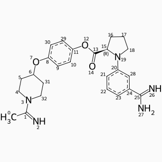 CC(=N)N1CCC(Oc2ccc(OC(=O)[C@H]3CCCN3c3cccc(C(=N)N)c3)cc2)CC1